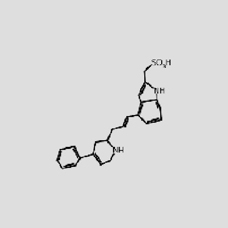 O=S(=O)(O)Cc1cc2c(C=CCC3CC(c4ccccc4)=CCN3)cccc2[nH]1